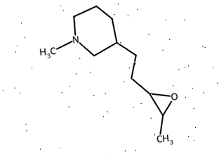 CC1OC1CCC1CCCN(C)C1